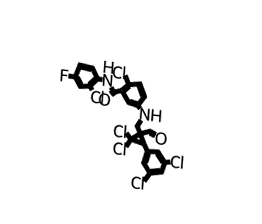 O=CC1(CNc2ccc(Cl)c(C(=O)Nc3ccc(F)cc3Cl)c2)C(c2cc(Cl)cc(Cl)c2)C1(Cl)Cl